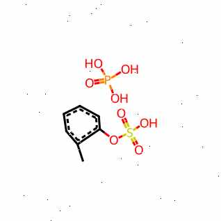 Cc1ccccc1OS(=O)(=O)O.O=P(O)(O)O